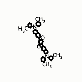 Cc1cccc(N(c2cccc(C)c2)c2ccc3cc4c(cc3c2)oc2cc3c(cc24)oc2cc4cc(N(c5cccc(C)c5)c5cccc(C)c5)ccc4cc23)c1